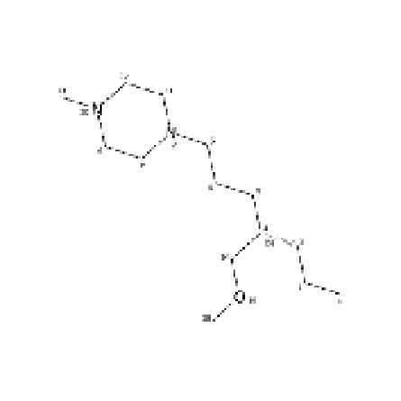 CCC[C@@H](CCCN1CCN(C)CC1)COC